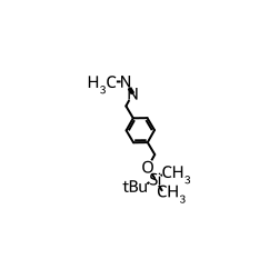 C/N=N\Cc1ccc(CO[Si](C)(C)C(C)(C)C)cc1